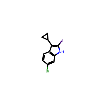 Brc1ccc2c(C3CC3)c(I)[nH]c2c1